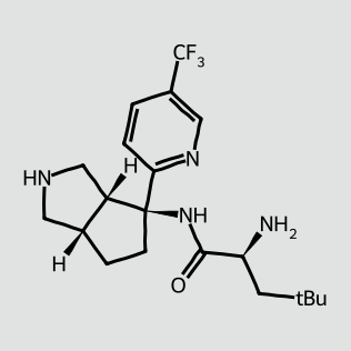 CC(C)(C)C[C@H](N)C(=O)N[C@@]1(c2ccc(C(F)(F)F)cn2)CC[C@@H]2CNC[C@@H]21